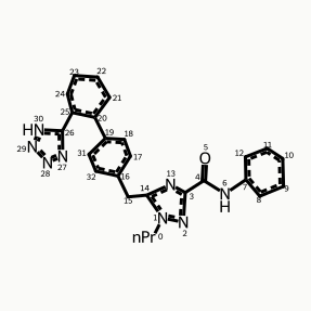 CCCn1nc(C(=O)Nc2ccccc2)nc1Cc1ccc(-c2ccccc2-c2nnn[nH]2)cc1